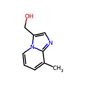 Cc1cccn2c(CO)cnc12